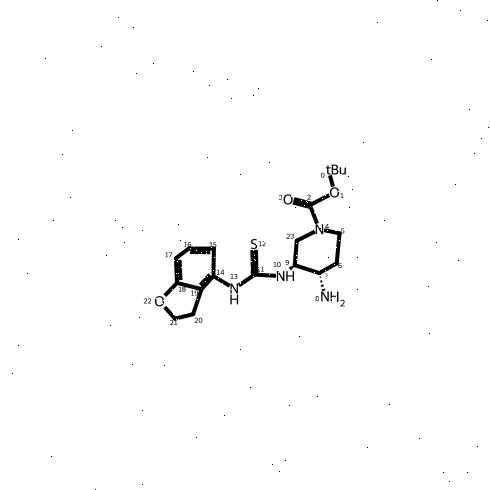 CC(C)(C)OC(=O)N1CC[C@H](N)[C@H](NC(=S)Nc2cccc3c2CCO3)C1